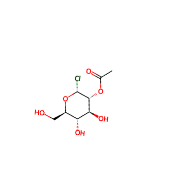 CC(=O)O[C@@H]1[C@@H](O)[C@H](O)[C@@H](CO)O[C@@H]1Cl